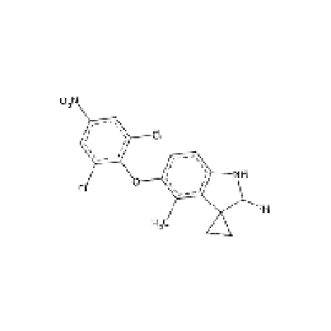 [2H]C1Nc2ccc(Oc3c(Cl)cc([N+](=O)[O-])cc3Cl)c(C)c2C12CC2